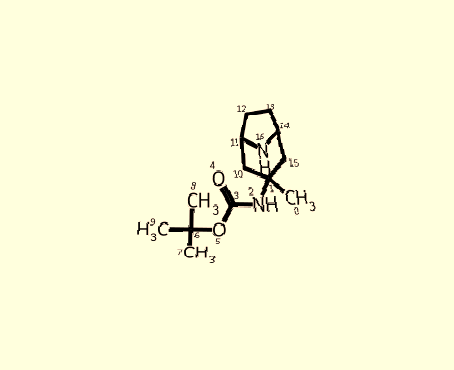 CC1(NC(=O)OC(C)(C)C)CC2CCC(C1)N2